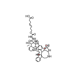 CC[C@@]1(O)CC2C[C@H](CNCCc3c([nH]c4ccccc34)[C@@]2(C(=O)OC)c2cc3c(cc2OC)N(C)[C@H]2[C@@](O)(C(=O)NNC(=O)OCCSSCCC(=O)O)[C@H](O)[C@]4(CC)C=CCN5CC[C@]32[C@@H]54)C1